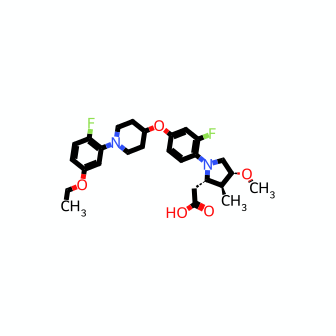 CCOc1ccc(F)c(N2CCC(Oc3ccc(N4C[C@H](OC)[C@@H](C)[C@@H]4CC(=O)O)c(F)c3)CC2)c1